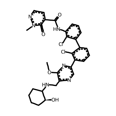 COc1nc(-c2cccc(-c3cccc(NC(=O)c4ccnn(C)c4=O)c3Cl)c2Cl)cnc1CNC1CCCC[C@@H]1O